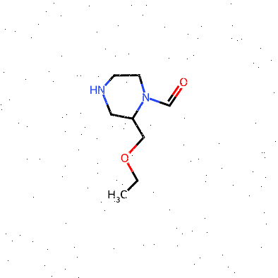 CCOCC1CNCCN1C=O